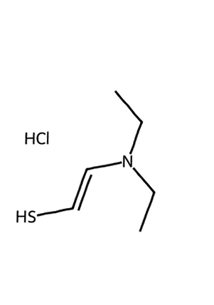 CCN(C=CS)CC.Cl